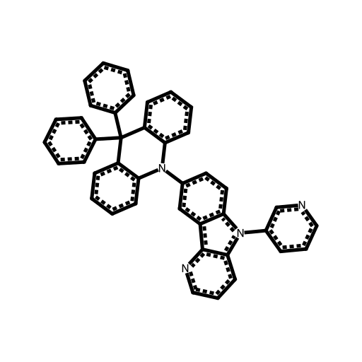 c1ccc(C2(c3ccccc3)c3ccccc3N(c3ccc4c(c3)c3ncccc3n4-c3cccnc3)c3ccccc32)cc1